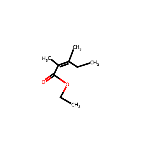 CCOC(=O)C(C)=C(C)CC